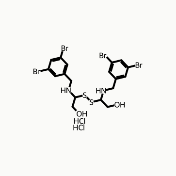 Cl.Cl.OCC(NCc1cc(Br)cc(Br)c1)SSC(CO)NCc1cc(Br)cc(Br)c1